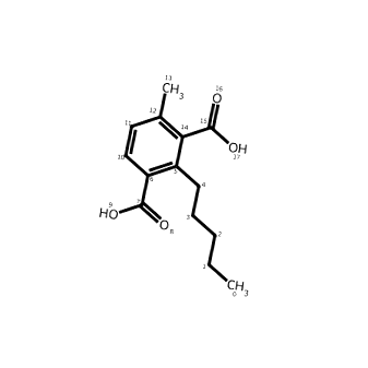 CCCCCc1c(C(=O)O)ccc(C)c1C(=O)O